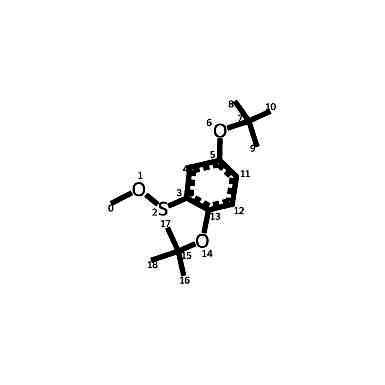 COSc1cc(OC(C)(C)C)ccc1OC(C)(C)C